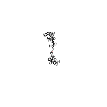 O=C1CCC(N2C(=O)c3cccc(NCCOCCOCCNC(=O)C4CC(NC(=O)c5cnc(Nc6ccc7cnccc7n6)cc5NC5CC5)C4)c3C2=O)C(=O)N1